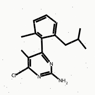 Cc1cccc(CC(C)C)c1-c1nc(N)nc(Cl)c1C